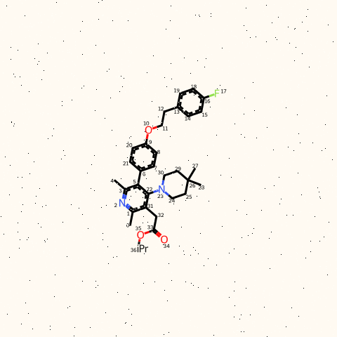 Cc1nc(C)c(-c2ccc(OCCc3ccc(F)cc3)cc2)c(N2CCC(C)(C)CC2)c1CC(=O)OC(C)C